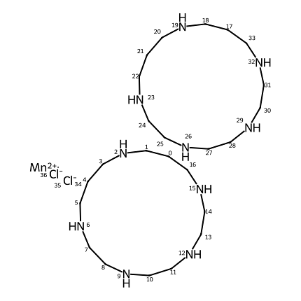 C1CNCCCNCCNCCNCCNC1.C1CNCCCNCCNCCNCCNC1.[Cl-].[Cl-].[Mn+2]